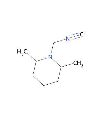 [C-]#[N+]CN1C(C)CCCC1C